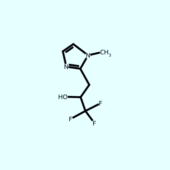 Cn1ccnc1CC(O)C(F)(F)F